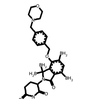 Bc1cc(B)c2c(c1OCc1ccc(CN3CCOCC3)cc1)C(B)(B)N(C1CCC(=O)NC1=O)C2=O